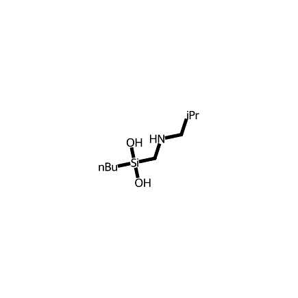 CCCC[Si](O)(O)CNCC(C)C